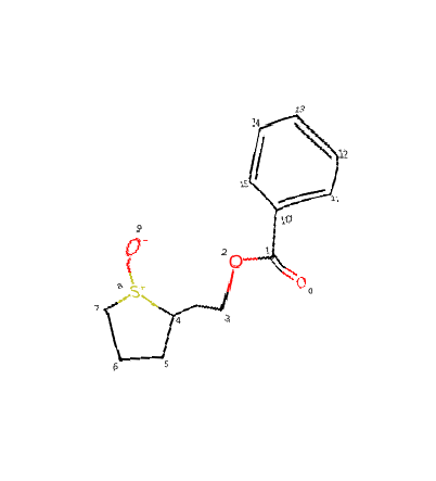 O=C(OCC1CCC[S+]1[O-])c1ccccc1